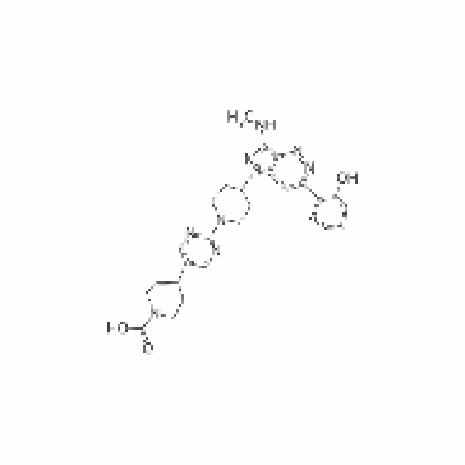 CNc1nn(C2CCN(c3ncc(C4=CCN(C(=O)O)CC4)cn3)CC2)c2cc(-c3ccccc3O)nnc12